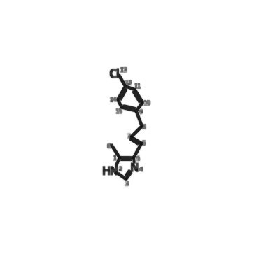 Cc1[nH]cnc1C=CCc1ccc(Cl)cc1